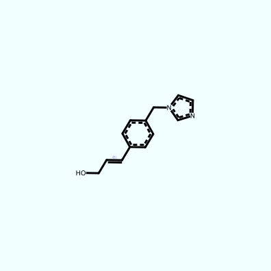 OC/C=C/c1ccc(Cn2ccnc2)cc1